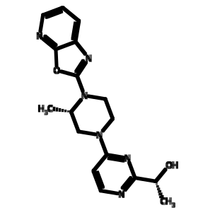 C[C@@H](O)c1nccc(N2CCN(c3nc4cccnc4o3)[C@@H](C)C2)n1